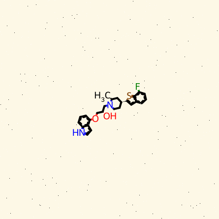 C[C@H]1C[C@H](c2cc3cccc(F)c3s2)CCN1C[C@H](O)COc1cccc2[nH]ccc12